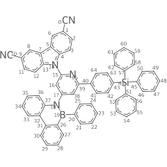 N#Cc1ccc2c(c1)c1cc(C#N)ccc1n2-c1cc(N2B(c3ccccc3)c3ccccc3-c3ccccc32)cc(-c2ccc([Si](c3ccccc3)(c3ccccc3)c3ccccc3)cc2)n1